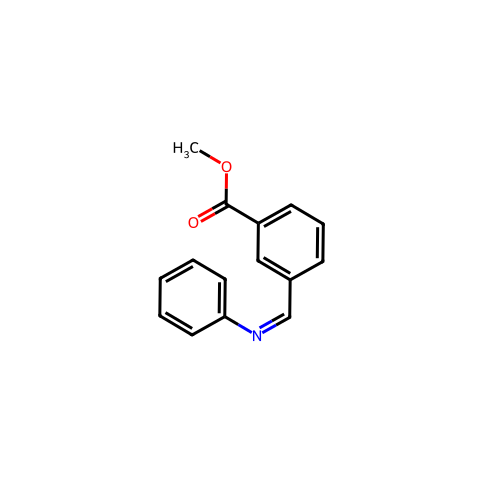 COC(=O)c1cccc(/C=N\c2ccccc2)c1